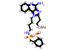 COCCc1nc2c(N)nc3ccccc3c2n1CCCCNS(=O)(=O)Cc1ccccc1P=O